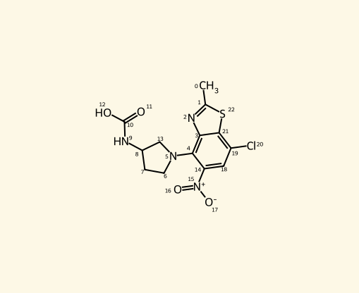 Cc1nc2c(N3CCC(NC(=O)O)C3)c([N+](=O)[O-])cc(Cl)c2s1